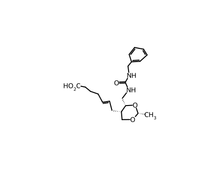 C[C@@H]1OC[C@H](CC=CCCCC(=O)O)[C@H](CNC(=O)NCc2ccccc2)O1